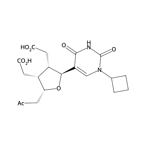 CC(=O)C[C@H]1O[C@H](c2cn(C3CCC3)c(=O)[nH]c2=O)[C@@H](CC(=O)O)[C@H]1CC(=O)O